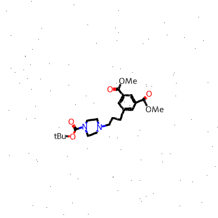 COC(=O)c1cc(CCCN2CCN(C(=O)OC(C)(C)C)CC2)cc(C(=O)OC)c1